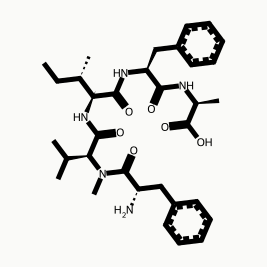 CC[C@H](C)[C@H](NC(=O)[C@H](C(C)C)N(C)C(=O)[C@@H](N)Cc1ccccc1)C(=O)N[C@@H](Cc1ccccc1)C(=O)N[C@@H](C)C(=O)O